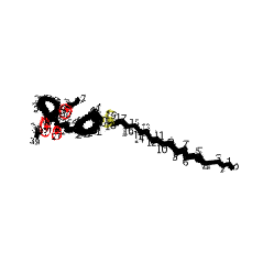 CCCCCCCCCCCCCCCCCCCSc1ccc(C=CC(=O)c2c(OCC)cccc2OCC)cc1